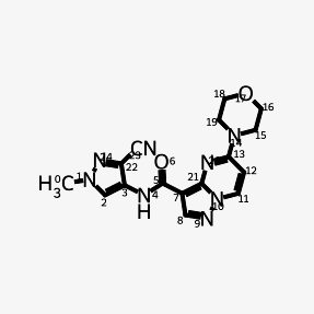 Cn1cc(NC(=O)c2cnn3ccc(N4CCOCC4)nc23)c(C#N)n1